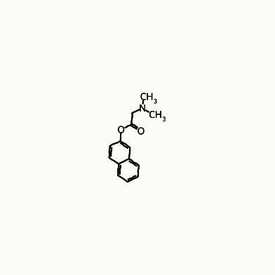 CN(C)CC(=O)Oc1ccc2ccccc2c1